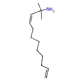 C=CCCCCCC/C=C\C(C)(C)N